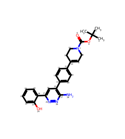 CC(C)(C)OC(=O)N1CC=C(c2ccc(-c3cc(-c4ccccc4O)nnc3N)cc2)CC1